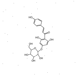 O=C(/C=C/c1ccc(O)cc1)c1c(O)cc(OC2OC(CO)C(O)C(O)C2O)cc1O